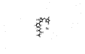 Cc1cc(C)n(Cc2cc(-c3ccc[n+](CC(=O)NC4CC4)c3)[nH]n2)n1.[Br-]